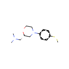 CSc1ccc(N2CCO[C@H](CN(C)C)C2)cc1